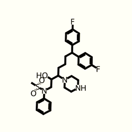 CS(=O)(=O)N(CC(O)C(CCCC(c1ccc(F)cc1)c1ccc(F)cc1)N1CCNCC1)c1ccccc1